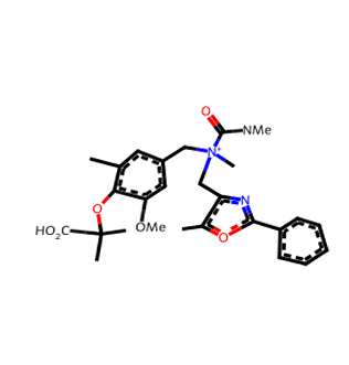 CNC(=O)[N+](C)(Cc1cc(C)c(OC(C)(C)C(=O)O)c(OC)c1)Cc1nc(-c2ccccc2)oc1C